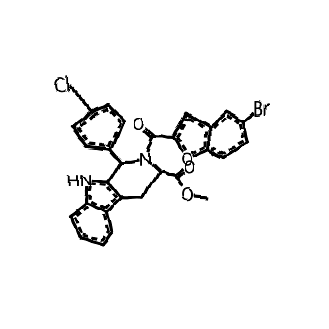 COC(=O)C1Cc2c([nH]c3ccccc23)C(c2ccc(Cl)cc2)N1C(=O)c1cc2cc(Br)ccc2o1